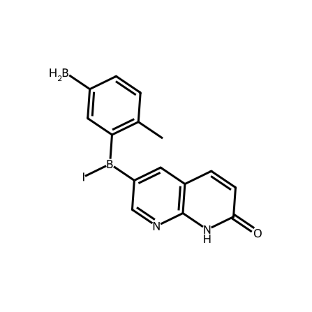 Bc1ccc(C)c(B(I)c2cnc3[nH]c(=O)ccc3c2)c1